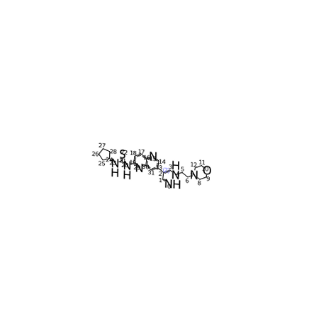 N=C/C(=C\NCCN1CCOCC1)c1cnc2ccc(NC(=S)NC3CCCC3)nc2c1